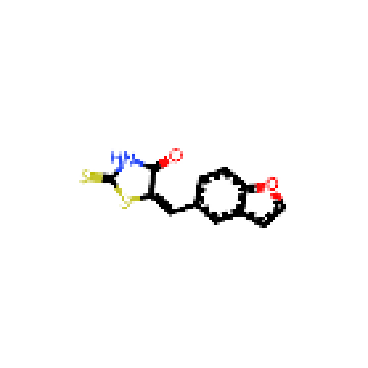 O=C1NC(=S)S/C1=C/c1ccc2occc2c1